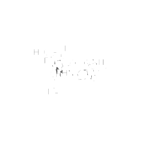 Cc1c(C(C)(F)F)nn(CC2(C)CC(F)(F)C2)c1C(=O)Nc1cc[n+]([O-])c(S(N)(=O)=O)c1